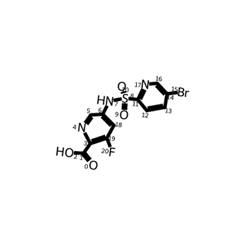 O=C(O)c1ncc(NS(=O)(=O)c2ccc(Br)cn2)cc1F